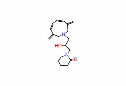 C=C1/C=C\C=C/C(=C)CN(CC(O)CN2CCCCC2=O)C1